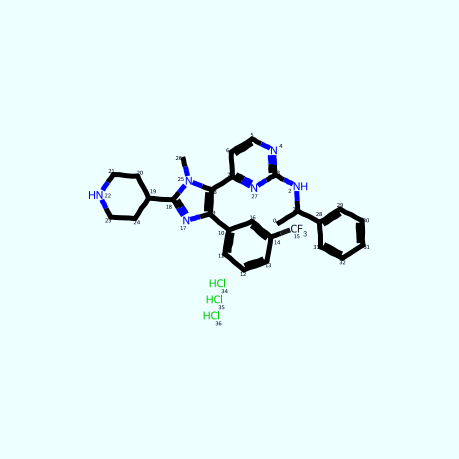 CC(Nc1nccc(-c2c(-c3cccc(C(F)(F)F)c3)nc(C3CCNCC3)n2C)n1)c1ccccc1.Cl.Cl.Cl